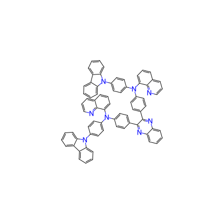 c1cnc2c(N(c3ccc(-c4nc5ccccc5nc4-c4ccc(N(c5ccc(-n6c7ccccc7c7ccccc76)cc5)c5cccc6cccnc56)cc4)cc3)c3ccc(-n4c5ccccc5c5ccccc54)cc3)cccc2c1